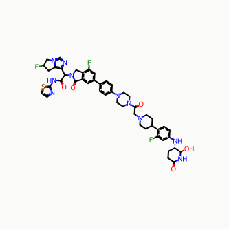 O=C1CC[C@H](Nc2ccc(C3CCN(CC(=O)N4CCN(c5ccc(-c6cc(F)c7c(c6)C(=O)N(C(C(=O)Nc6nccs6)c6ncn8c6C[C@@H](F)C8)C7)cc5)CC4)CC3)c(F)c2)C(O)N1